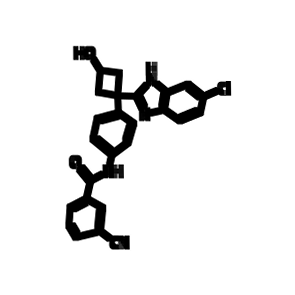 N#Cc1cccc(C(=O)Nc2ccc(C3(c4nc5ccc(Cl)cc5[nH]4)CC(O)C3)cc2)c1